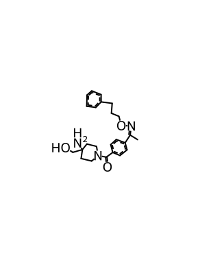 CC(=NOCCCc1ccccc1)c1ccc(C(=O)N2CCC(N)(CO)CC2)cc1